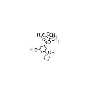 Cc1cc(B2OC(C)(C)C(C)(C)O2)cc(C2(O)CCCC2)c1